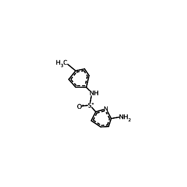 Cc1ccc(N[S+]([O-])c2cccc(N)n2)cc1